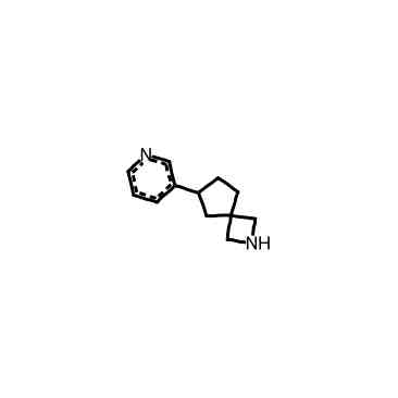 c1cncc(C2CCC3(CNC3)C2)c1